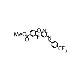 COC(=O)c1ccc(Oc2ccc(N=Cc3ccc(C(F)(F)F)cc3)cn2)c(F)c1